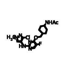 CC(=O)NC1CCC(COc2nc(Nc3cn(C)nc3Cl)ncc2F)CC1